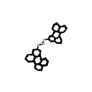 B(Oc1cc2cccc3c4cccc5cccc(c(c1)c23)c54)Oc1cc2cccc3c4cccc5cccc(c(c1)c23)c54